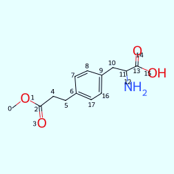 COC(=O)CCc1ccc(CC(N)C(=O)O)cc1